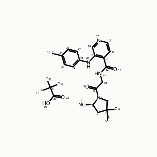 N#C[C@@H]1CC(F)(F)CN1C(=O)CNC(=O)c1ccncc1Nc1ccc(F)cc1.O=C(O)C(F)(F)F